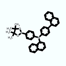 CC1(C)OB(c2ccc(N(c3ccc(-c4cccc5ccccc45)cc3)c3cccc4ccccc34)cc2)OC1(C)C